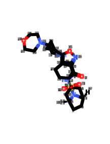 O=C(N[C@H]1C[C@H]2CC[C@@H](C1)N2S(=O)(=O)[C@H]1CC[C@H](NCCN2CCOCC2)CC1)c1cc(C2CC2)on1